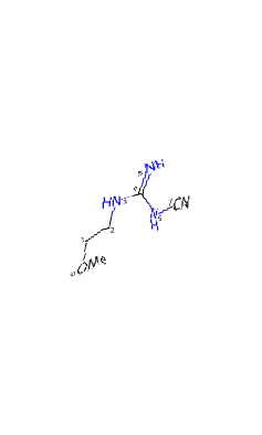 COCCNC(=N)NC#N